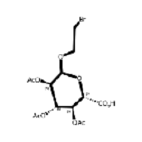 CC(=O)O[C@H]1[C@H](OC(C)=O)[C@@H](OC(C)=O)C(OCCBr)O[C@@H]1C(=O)O